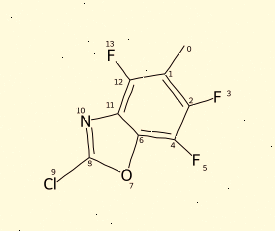 Cc1c(F)c(F)c2oc(Cl)nc2c1F